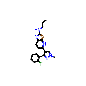 CCCNc1nc2ccc(-c3cn(C)nc3-c3ccccc3F)nc2s1